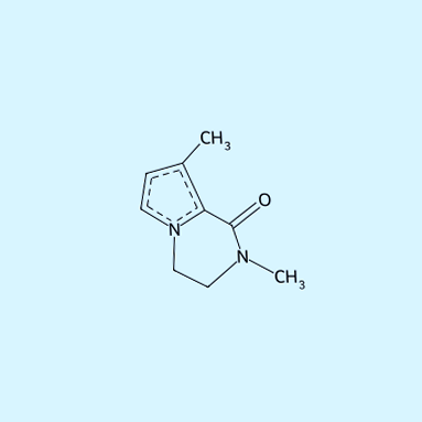 Cc1ccn2c1C(=O)N(C)CC2